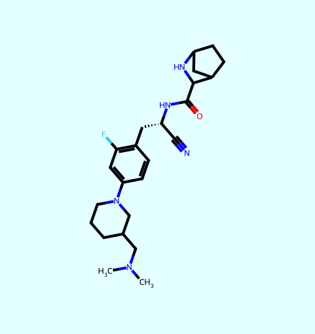 CN(C)CC1CCCN(c2ccc(C[C@@H](C#N)NC(=O)C3NC4CCC3C4)c(F)c2)C1